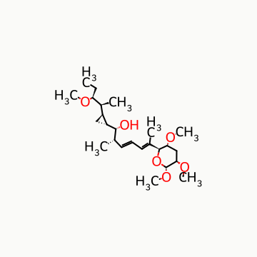 CC[C@H](OC)[C@@H](C)[C@@H]1C[C@H]1[C@H](O)[C@@H](C)/C=C/C=C(\C)[C@@H]1O[C@@H](OC)[C@H](OC)C[C@H]1OC